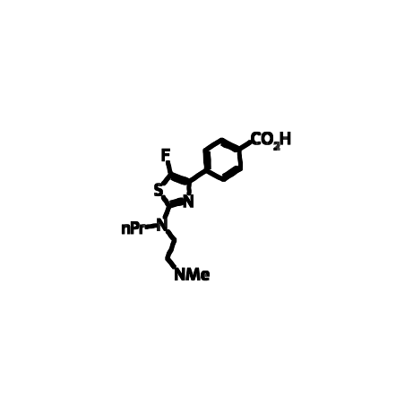 CCCN(CCNC)c1nc(-c2ccc(C(=O)O)cc2)c(F)s1